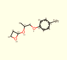 CC(COc1ccc(C(C)C)cc1)OC1CCO1